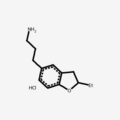 CCC1Cc2cc(CCCN)ccc2O1.Cl